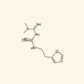 CN(C)C(=N)NC(=N)NCCc1ccco1